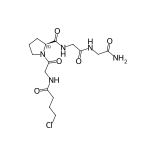 NC(=O)CNC(=O)CNC(=O)[C@@H]1CCCN1C(=O)CNC(=O)CCCCl